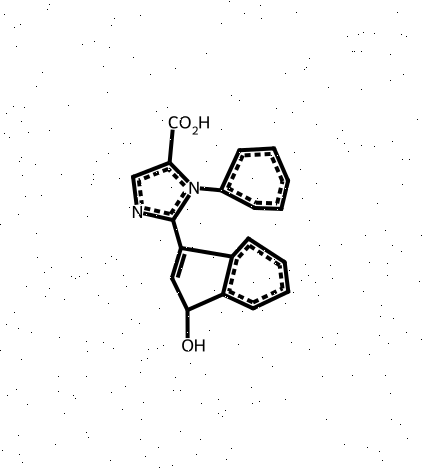 O=C(O)c1cnc(C2=CC(O)c3ccccc32)n1-c1ccccc1